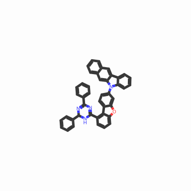 c1ccc(C2=NC(c3ccccc3)NC(c3cccc4oc5cc(-n6c7ccccc7c7cc8ccccc8cc76)ccc5c34)=N2)cc1